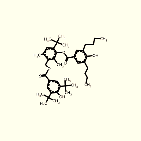 CCCCc1cc(C(=O)Oc2c(C(C)(C)C)cc(C)c(COC(=S)c3cc(C(C)(C)C)c(O)c(C(C)(C)C)c3)c2C)cc(CCCC)c1O